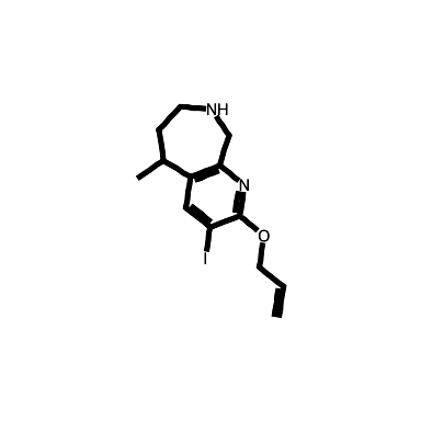 C=CCOc1nc2c(cc1I)C(C)CCNC2